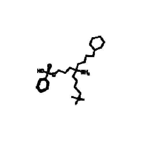 C[Si](C)(C)CCCCC(N)(CCCCC1CCCCC1)CCCOP(=O)(O)c1ccccc1